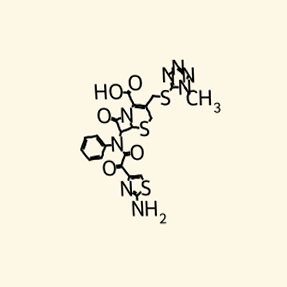 Cn1nnnc1SCC1=C(C(=O)O)N2C(=O)C(N(C(=O)C(=O)c3csc(N)n3)c3ccccc3)C2SC1